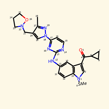 CSn1cc(C(=O)C2CC2)c2cc(Nc3nccc(-n4cc(CN5CCCO5)c(C)n4)n3)ccc21